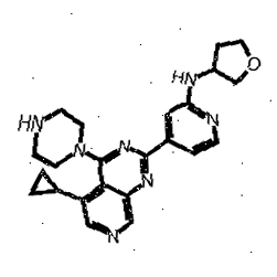 c1cc(-c2nc(N3CCNCC3)c3c(C4CC4)cncc3n2)cc(NC2CCOC2)n1